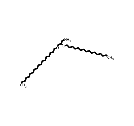 CCCCCCCCCCCCCCCCCCOCC(CN)OCCCCCCCCCCCCCCCC